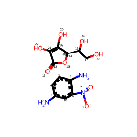 Nc1ccc(N)c([N+](=O)[O-])c1.O=C1O[C@H](C(O)CO)C(O)=C1O